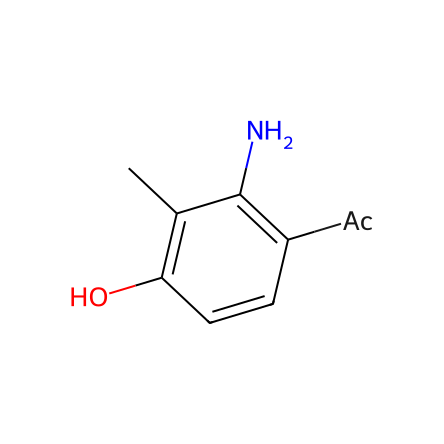 CC(=O)c1ccc(O)c(C)c1N